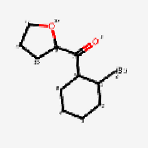 CCC(C)C1CCCCC1C(=O)C1CCCO1